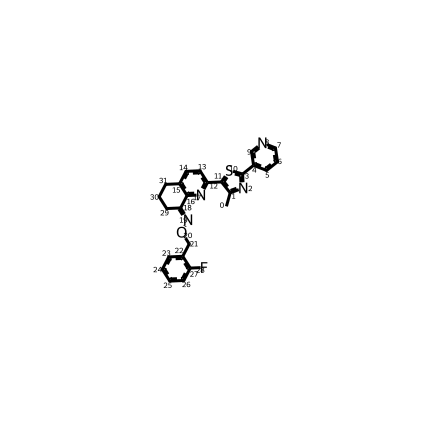 Cc1nc(-c2cccnc2)sc1-c1ccc2c(n1)/C(=N/OCc1ccccc1F)CCC2